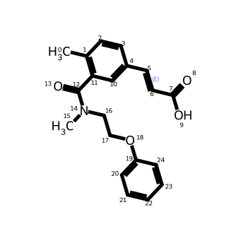 Cc1ccc(/C=C/C(=O)O)cc1C(=O)N(C)CCOc1ccccc1